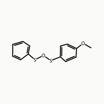 COc1ccc(SOSc2ccccc2)cc1